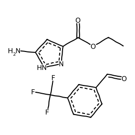 CCOC(=O)c1cc(N)[nH]n1.O=Cc1cccc(C(F)(F)F)c1